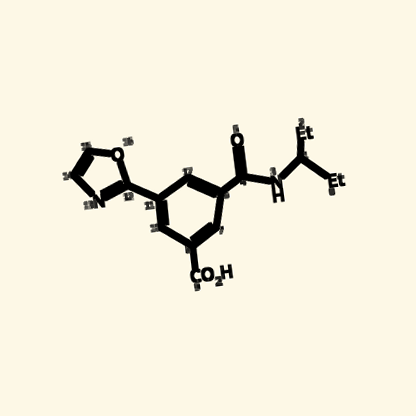 CCC(CC)NC(=O)c1cc(C(=O)O)cc(-c2ncco2)c1